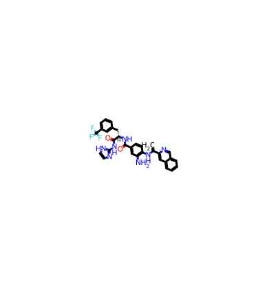 C=C(Nc1ccc(C(=O)N[C@@H](Cc2cccc(C(F)(F)F)c2)C(=O)Nc2ncc[nH]2)cc1N)c1cc2ccccc2cn1